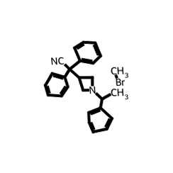 CBr.CC(c1ccccc1)N1CC(C(C#N)(c2ccccc2)c2ccccc2)C1